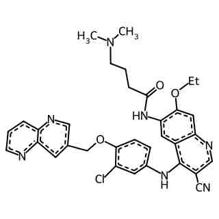 CCOc1cc2ncc(C#N)c(Nc3ccc(OCc4cnc5cccnc5c4)c(Cl)c3)c2cc1NC(=O)CCCN(C)C